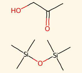 CC(=O)CO.C[Si](C)(C)O[Si](C)(C)C